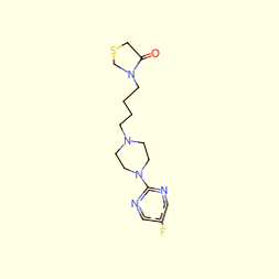 O=C1CSCN1CCCCN1CCN(c2ncc(F)cn2)CC1